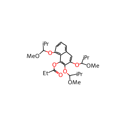 CCC(=O)Oc1c(OC(OC)C(C)C)c(OC(OC)C(C)C)cc2cccc(OC(OC)C(C)C)c12